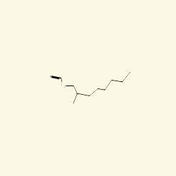 CCCCCCC(C)CNC=O